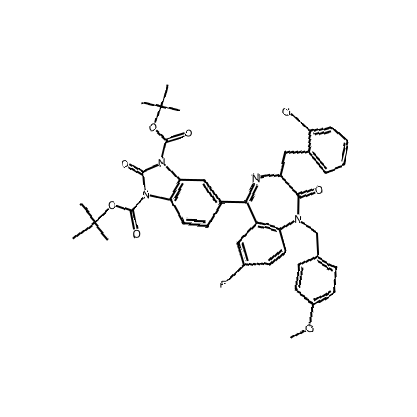 COc1ccc(CN2C(=O)C(Cc3ccccc3Cl)N=C(c3ccc4c(c3)n(C(=O)OC(C)(C)C)c(=O)n4C(=O)OC(C)(C)C)c3cc(F)ccc32)cc1